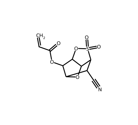 C=CC(=O)OC1C2OC3C1OS(=O)(=O)C3C2C#N